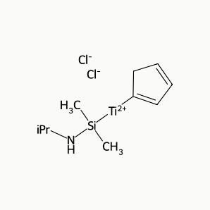 CC(C)N[Si](C)(C)[Ti+2][C]1=CC=CC1.[Cl-].[Cl-]